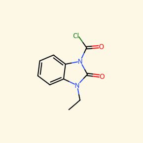 CCn1c(=O)n(C(=O)Cl)c2ccccc21